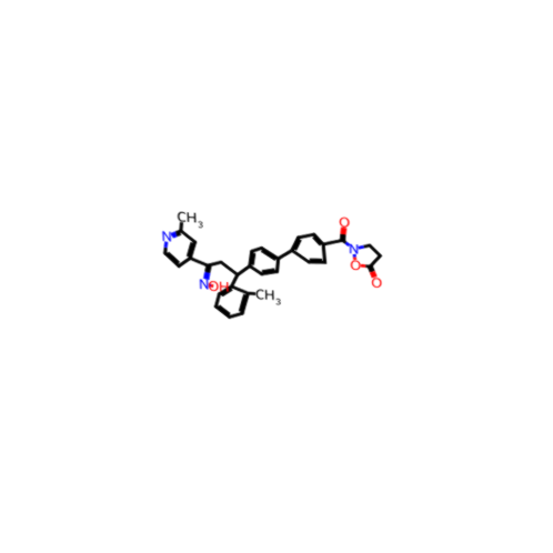 Cc1cc(/C(CC(c2ccc(-c3ccc(C(=O)N4CCC(=O)O4)cc3)cc2)c2ccccc2C)=N/O)ccn1